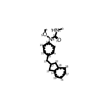 CNC(=O)N(OC)c1ccc(CC2Cc3ccccc3C2)cc1